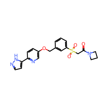 O=C(CS(=O)(=O)c1cccc(COc2ccc(-c3ccn[nH]3)nc2)c1)N1CCC1